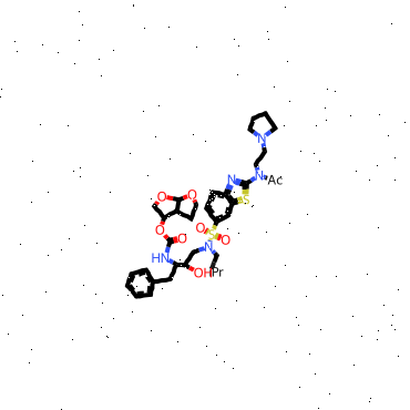 CC(=O)N(CCN1CCCC1)c1nc2ccc(S(=O)(=O)N(CC(C)C)CC(O)C(Cc3ccccc3)NC(=O)OC3COC4OCCC34)cc2s1